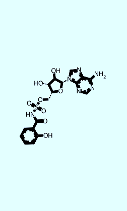 Nc1ncnc2c1ncn2[C@@H]1O[C@H](COS(=O)(=O)NC(=O)c2ccccc2O)[C@H](O)C1O